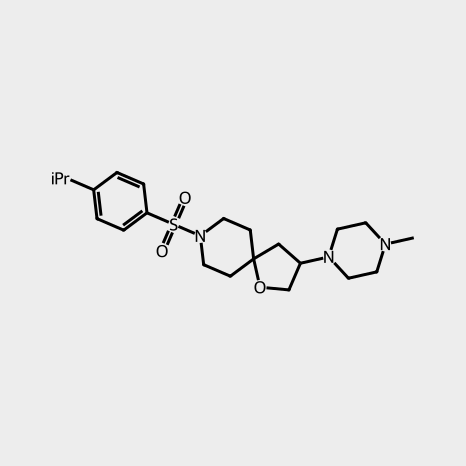 CC(C)c1ccc(S(=O)(=O)N2CCC3(CC2)CC(N2CCN(C)CC2)CO3)cc1